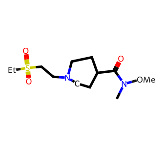 CCS(=O)(=O)CCN1CCC(C(=O)N(C)OC)CC1